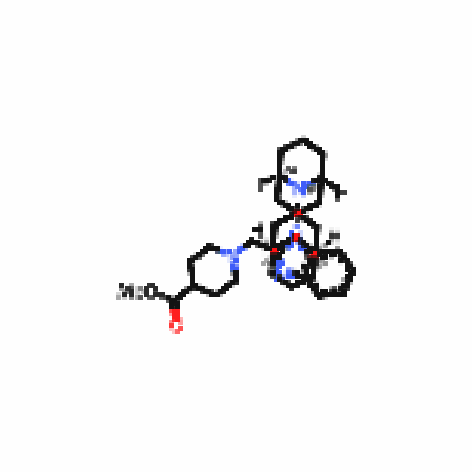 COC(=O)C1CCN(Cc2nc3ccccc3n2[C@H]2C[C@H]3CCC[C@@H](C2)N3[C@H]2C[C@@H]3CCC[C@@H](C3)C2)CC1